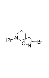 CC(C)N1CCCC2(CC(Br)=NO2)C1